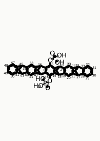 O=P(O)(O)Oc1c2c(c(OP(=O)(O)O)c3c1C1CC3c3cc4c(cc31)C1CC4c3ccccc31)C1CC2c2cc3c(cc21)C1CC3c2ccccc21